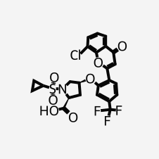 O=C(O)[C@@H]1C[C@H](Oc2cc(C(F)(F)F)ccc2-c2cc(=O)c3cccc(Cl)c3o2)CN1S(=O)(=O)C1CC1